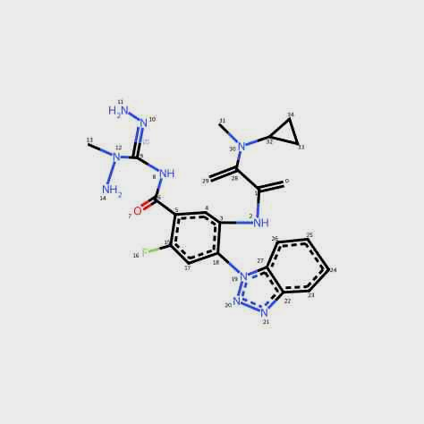 C=C(Nc1cc(C(=O)N/C(=N/N)N(C)N)c(F)cc1-n1nnc2ccccc21)C(=C)N(C)C1CC1